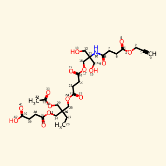 C#CCOC(=O)CCC(=O)NC(CO)(CO)COC(=O)CCC(=O)OCC(CC)(COC(C)=O)COC(=O)CCC(=O)O